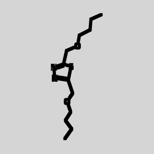 CCCCOCc1nnc(COCCCC)s1